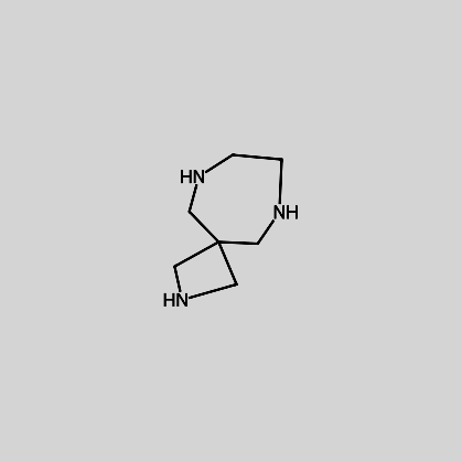 C1CNCC2(CN1)CNC2